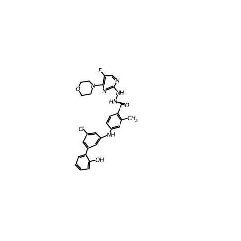 Cc1cc(Nc2cc(Cl)cc(-c3ccccc3O)c2)ccc1C(=O)NNc1ncc(F)c(N2CCOCC2)n1